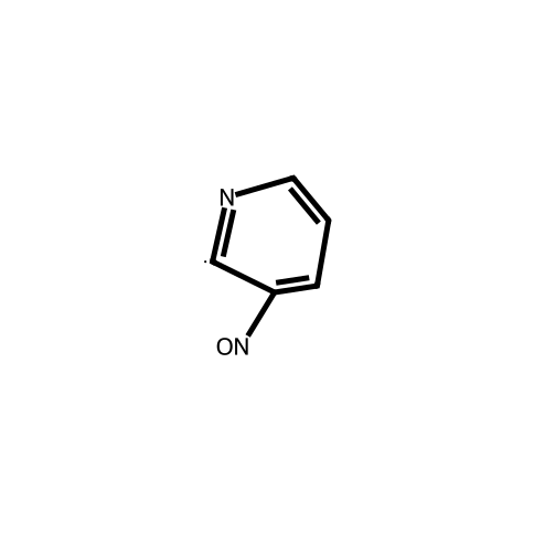 O=Nc1[c]nccc1